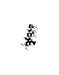 Cc1nccn1CC(=O)N1CCN(c2nc(C3CC3)c3c(c2C#N)CC(C)(C)OC3)C[C@H]1C(C)C